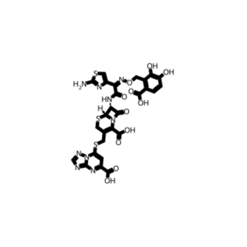 Nc1nc(/C(=N/OCc2c(C(=O)O)ccc(O)c2O)C(=O)N[C@@H]2C(=O)N3C(C(=O)O)=C(CSc4cc(C(=O)O)nc5ncnn45)CS[C@H]23)cs1